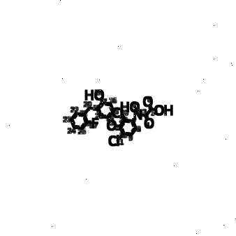 O=C(O)C(=O)N(O)c1ccc(Cl)c(Oc2ccc(O)c(Cc3ccccc3F)c2)c1Cl